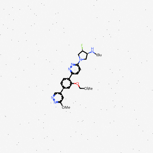 COCOc1cc(-c2cnnc(OC)c2)ccc1-c1ccc(N2C[C@@H](F)[C@@H](NC(C)(C)C)C2)nn1